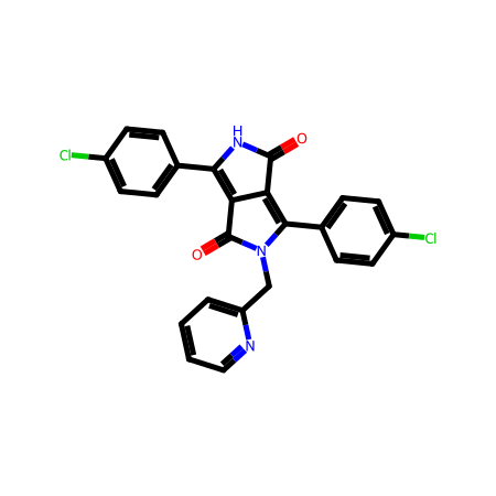 O=C1NC(c2ccc(Cl)cc2)=C2C(=O)N(Cc3ccccn3)C(c3ccc(Cl)cc3)=C12